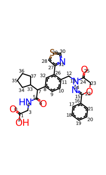 O=C(O)CNC(=O)C(c1ccc(CN2N=C(c3ccccc3)OCC2=O)c(-c2cscn2)c1)C1CCCC1